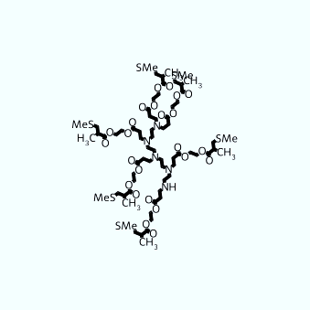 CSCC(C)C(=O)OCCOC(=O)CCNCCN(CCC(=O)OCCOC(=O)C(C)CSC)CCN(CCC(=O)OCCOC(=O)C(C)CSC)CCN(CCC(=O)OCCOC(=O)C(C)CSC)CCN(CCC(=O)OCCOC(=O)C(C)CSC)CCC(=O)OCCOC(=O)C(C)CSC